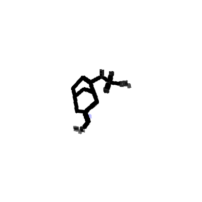 C/C=C1\CC2CCC(NS(C)(=O)=O)C(C1)C2